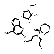 Nc1nc(Cl)nc2c1ncn2[C@@H]1O[C@H](CO)[C@@H](O)[C@@H]1F.O=P1(N(CCCl)CCCl)NCCCO1